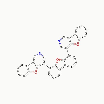 c1ccc2c(c1)oc1c(-c3cccc4c3oc3c(-c5cncc6c5oc5ccccc56)cccc34)cncc12